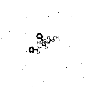 COC(=O)CNC(=O)[C@H](CSC(=O)c1ccccc1)NC(=O)c1ccccc1